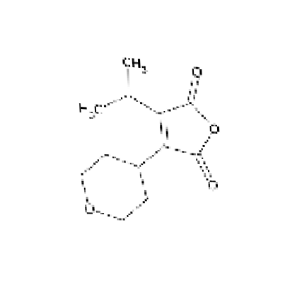 CC(C)C1=C(C2CCOCC2)C(=O)OC1=O